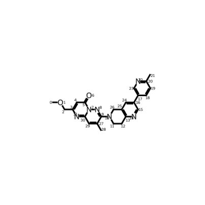 COCc1cc(=O)n2nc(N3CCc4ncc(-c5ccc(C)nc5)cc4C3)c(C)cc2n1